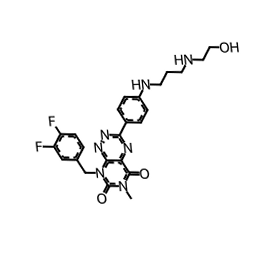 Cn1c(=O)c2nc(-c3ccc(NCCCNCCO)cc3)nnc2n(Cc2ccc(F)c(F)c2)c1=O